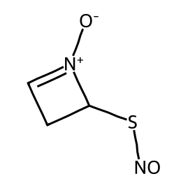 O=NSC1CC=[N+]1[O-]